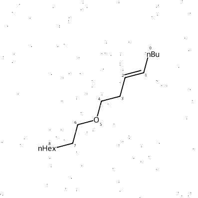 CCCCC=CCCOCCCCCCCC